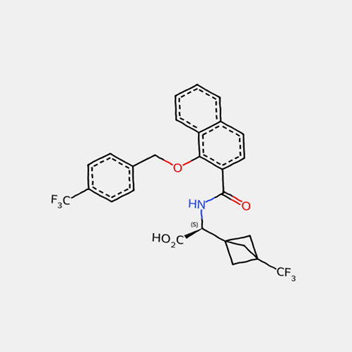 O=C(N[C@H](C(=O)O)C12CC(C(F)(F)F)(C1)C2)c1ccc2ccccc2c1OCc1ccc(C(F)(F)F)cc1